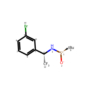 CC(C)(C)[S@@+]([O-])N[C@@H](c1cccc(Br)c1)C(F)(F)F